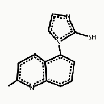 Cc1ccc2c(-n3ccnc3S)cccc2n1